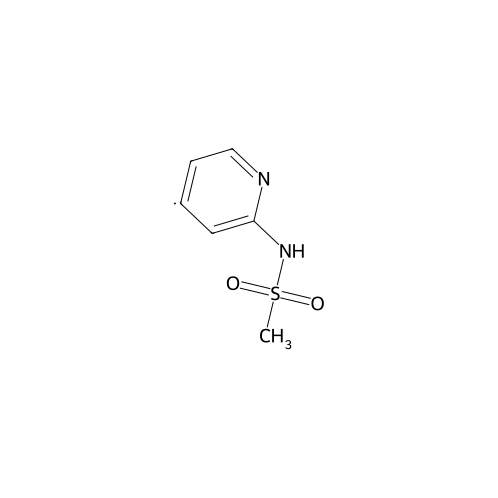 CS(=O)(=O)Nc1c[c]ccn1